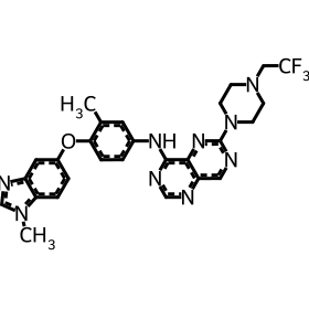 Cc1cc(Nc2ncnc3cnc(N4CCN(CC(F)(F)F)CC4)nc23)ccc1Oc1ccc2c(c1)ncn2C